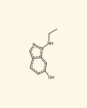 CCNn1ncc2ccc(O)cc21